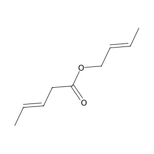 CC=CCOC(=O)CC=CC